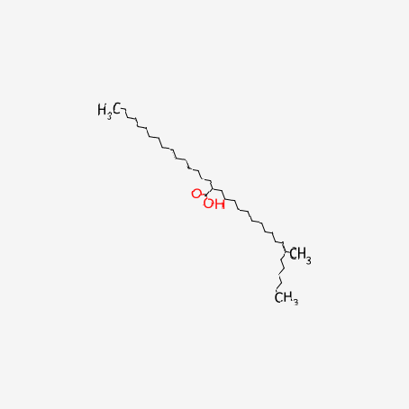 CCCCCCCCCCCCCCCCC(CCCCCCCCCCC=C(C)CCCCCC)C(=O)O